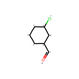 O=[C]C1CCCC(Cl)C1